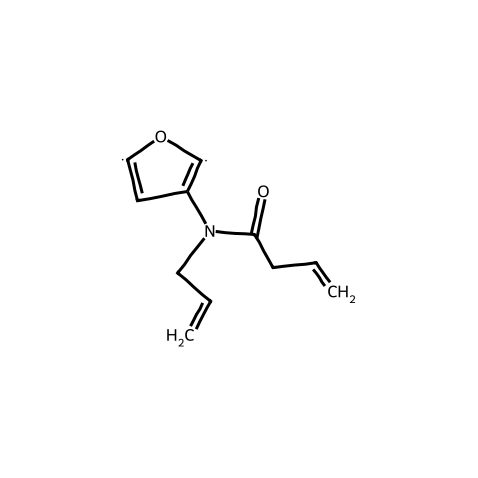 C=CCC(=O)N(CC=C)c1[c]o[c]c1